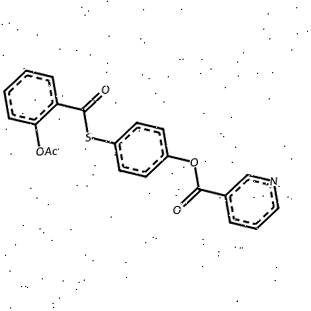 CC(=O)Oc1ccccc1C(=O)Sc1ccc(OC(=O)c2cccnc2)cc1